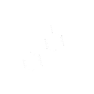 Clc1ccc(-c2ccc[c]n2)cc1Cl